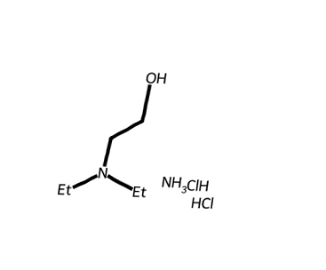 CCN(CC)CCO.Cl.Cl.N